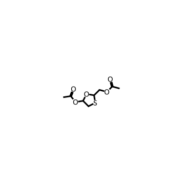 CC(=O)OCC1OC(OC(C)=O)CS1